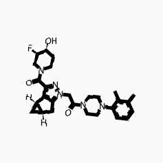 Cc1cccc(N2CCN(C(=O)Cn3nc(C(=O)N4CC[C@@H](O)[C@H](F)C4)c4c3C[C@H]3C[C@@H]43)CC2)c1C